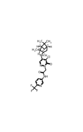 C[C@@H]1[C@H]2C[C@@H](C[C@H]1Nc1cnn(CC(=O)Nc3ccc(C(F)(F)F)nc3)c(=O)c1Cl)C2(C)C